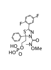 CON(C)C(=O)N1N=C(c2cc(F)ccc2F)SC1(CCOP(=O)(O)O)c1ccccc1